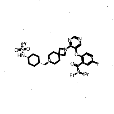 CCN(C(=O)c1cc(F)ccc1Oc1cncnc1N1CC2(CCN(C[C@H]3CC[C@@H](NS(=O)(=O)C(C)C)CC3)CC2)C1)C(C)C